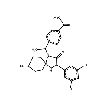 COC(=O)c1ccc(C(C)N2C(=O)C(c3cc(Cl)cc(Cl)c3)NC23CCC(C(C)(C)C)CC3)cc1